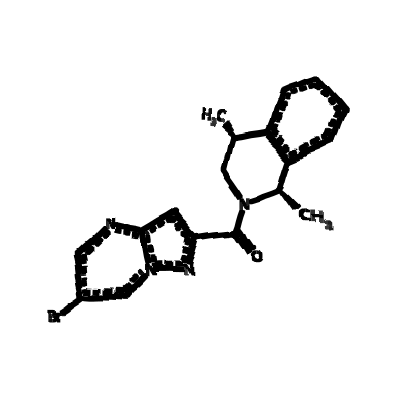 C[C@@H]1CN(C(=O)c2cc3ncc(Br)cn3n2)[C@H](C)c2ccccc21